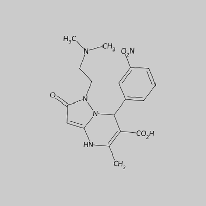 CC1=C(C(=O)O)C(c2cccc([N+](=O)[O-])c2)n2c(cc(=O)n2CCN(C)C)N1